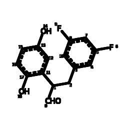 O=CC(Cc1cc(F)cc(F)c1)c1cc(O)ccc1O